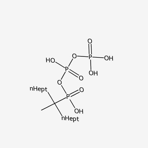 CCCCCCCC(C)(CCCCCCC)P(=O)(O)OP(=O)(O)OP(=O)(O)O